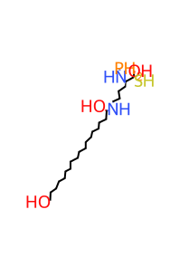 OCCCCCCCCCCCCCCCCCC(O)NCCCC[C@@H](NP)C(O)S